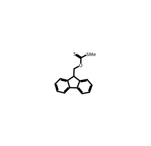 CSC(=S)OCC1c2ccccc2-c2ccccc21